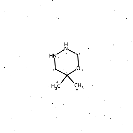 CC1(C)CNNCO1